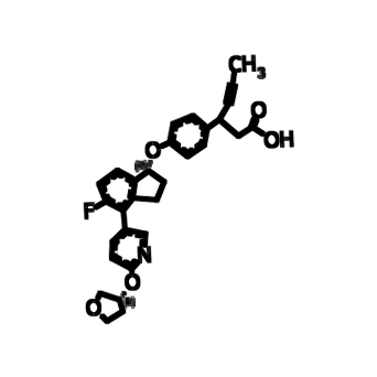 CC#CC(CC(=O)O)c1ccc(O[C@@H]2CCc3c2ccc(F)c3-c2ccc(O[C@@H]3CCOC3)nc2)cc1